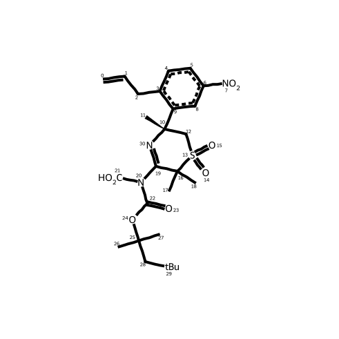 C=CCc1ccc([N+](=O)[O-])cc1[C@]1(C)CS(=O)(=O)C(C)(C)C(N(C(=O)O)C(=O)OC(C)(C)CC(C)(C)C)=N1